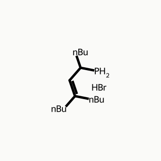 Br.CCCCC(=CC(P)CCCC)CCCC